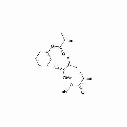 C=C(C)C(=O)OC.C=C(C)C(=O)OC1CCCCC1.C=C(C)C(=O)OCCC